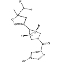 CC(C)n1cnc(C(=O)N2C[C@@H]3C(C4=NOC(C)(C(F)F)C4)[C@@H]3C2)c1